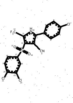 N#Cc1c(-c2ccc(Cl)cc2)[nH]c(C(F)(F)F)c1S(=O)(=O)c1ccc(Cl)c(Cl)c1